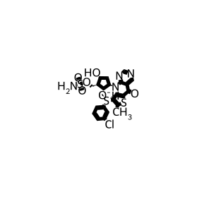 Cc1sc(C(=O)c2cncnc2N[C@@H]2C[C@H](COS(N)(=O)=O)[C@@H](O)C2)cc1[S@@+]([O-])c1cccc(Cl)c1